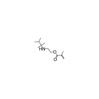 C=C(C)C(=O)OCCNC(C)(C)C(C)C